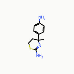 CC1(c2ccc(N)cc2)CCSC(N)=N1